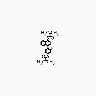 C=C(C)C(=O)Sc1ccc(-c2ccc(SC(=O)C(=C)C)c3ccccc23)c(F)c1